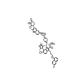 Cc1nc2ccc(NCC(=O)N3CCN(CCn4c(C(=O)OC(C)(C)C)c(CCCOc5cccc6cc(F)ccc56)c5ccc(Cl)c(-c6c(C)nn(C)c6C)c54)CC3)cc2cc1C1CCC(=O)NC1=O